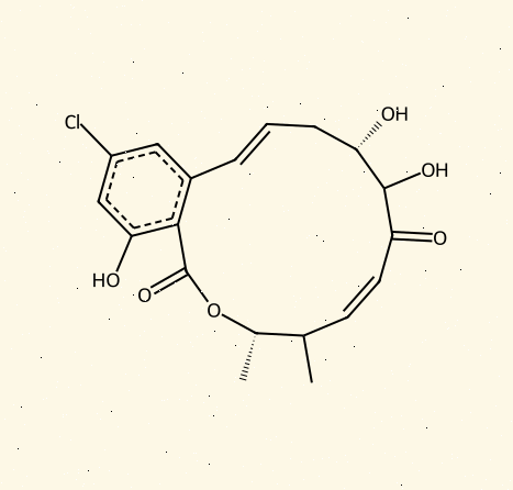 CC1/C=C\C(=O)C(O)[C@@H](O)C/C=C/c2cc(Cl)cc(O)c2C(=O)O[C@H]1C